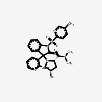 COc1ncccc1C1(N2C[C@H](O)C[C@H]2C(=O)N(C)C)C(=O)N(S(=O)(=O)c2ccc(C)cn2)c2ccccc21